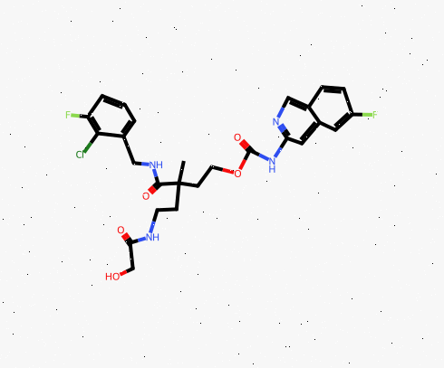 CC(CCNC(=O)CO)(CCOC(=O)Nc1cc2cc(F)ccc2cn1)C(=O)NCc1cccc(F)c1Cl